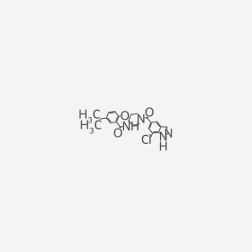 CC(C)c1ccc2c(c1)C(=O)NC1(CCN(C(=O)c3cc(Cl)c4[nH]ncc4c3)CC1)O2